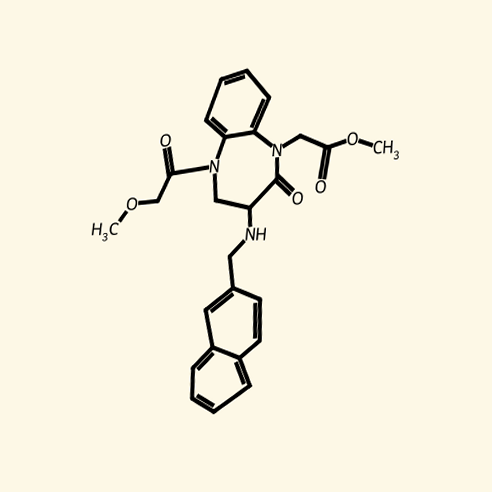 COCC(=O)N1CC(NCc2ccc3ccccc3c2)C(=O)N(CC(=O)OC)c2ccccc21